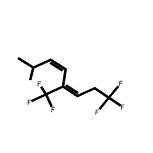 CC(C)/C=C\C(=C/CC(F)(F)F)C(F)(F)F